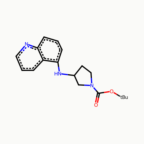 CC(C)(C)OC(=O)N1CCC(Nc2cccc3ncccc23)C1